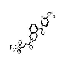 O=C(c1ccc(C(F)(F)F)nc1)c1cccc2c1CCN(C(=O)CCS(=O)(=O)C(F)(F)F)C2